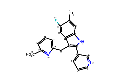 Cc1cc2[nH]c(-c3cccnc3)c(Cc3cccc(C(=O)O)n3)c2cc1F